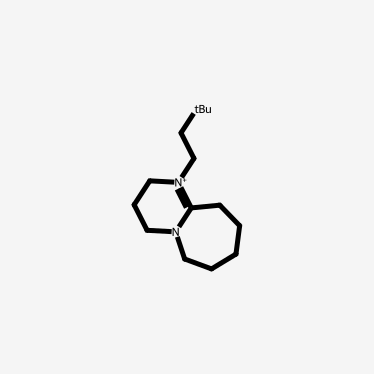 CC(C)(C)CC[N+]1=C2CCCCCN2CCC1